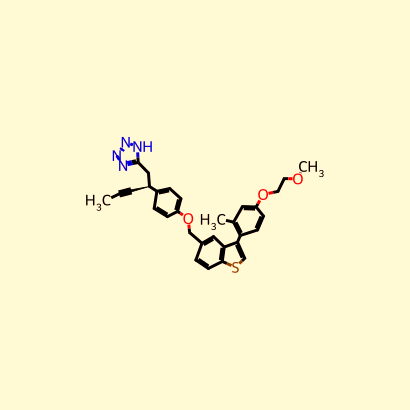 CC#C[C@@H](Cc1nnn[nH]1)c1ccc(OCc2ccc3scc(-c4ccc(OCCOC)cc4C)c3c2)cc1